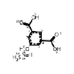 O.O=C(O)c1cccc(C(=O)O)c1.S.[NaH]